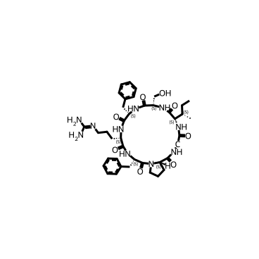 CC[C@H](C)[C@@H]1NC(=O)CNC(=O)[C@@H]2CCCN2C(=O)[C@H](Cc2ccccc2)NC(=O)[C@H](CCCN=C(N)N)NC(=O)[C@H](Cc2ccccc2)NC(=O)[C@H](CO)NC1=O